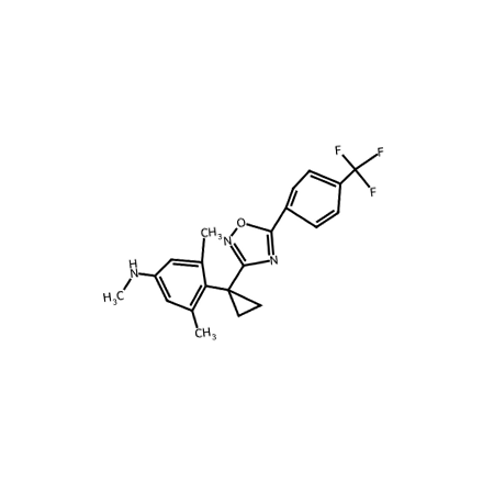 CNc1cc(C)c(C2(c3noc(-c4ccc(C(F)(F)F)cc4)n3)CC2)c(C)c1